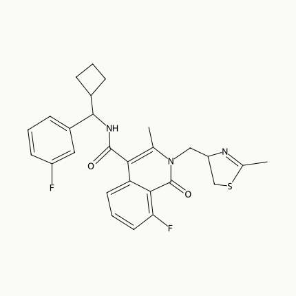 CC1=NC(Cn2c(C)c(C(=O)NC(c3cccc(F)c3)C3CCC3)c3cccc(F)c3c2=O)CS1